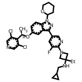 CCC1(NCC2CC2)CN(c2ncc(-c3nn(C4CCCCO4)c4ccc(O[C@H](C)c5c(Cl)cncc5Cl)cc34)cc2F)C1